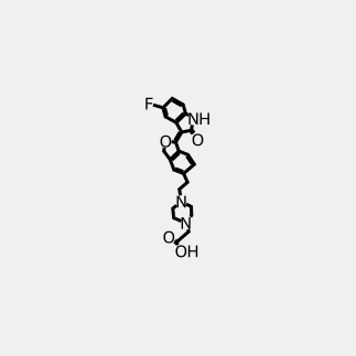 O=C(O)CN1CCN(CCc2ccc3c(c2)COC3=C2C(=O)Nc3ccc(F)cc32)CC1